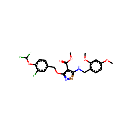 COC(=O)c1c(OCc2ccc(OC(F)F)c(F)c2)nsc1NCc1ccc(OC)cc1OC